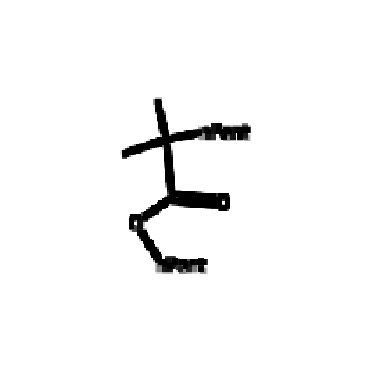 CCCCCOC(=O)C(C)(C)CCCCC